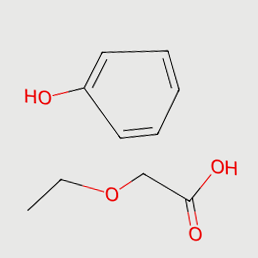 CCOCC(=O)O.Oc1ccccc1